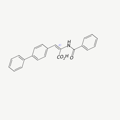 O=C(O)/C(=C\c1ccc(-c2ccccc2)cc1)NC(=O)c1ccccc1